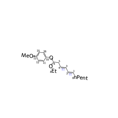 CCCCC/C=C/C=C/CC(OCC)Oc1ccc(OC)cc1